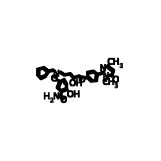 Cc1cc(=O)n(C)c(-c2ccc(OCC(O)CCCN(Cc3ccccc3)Oc3ccc(O)c(C(N)=O)c3)cc2)n1